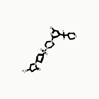 NC1CC(=O)N(c2ccc(S(=O)(=O)N3CCN(c4cc(C(F)(F)C5CCOCC5)cc(Cl)n4)CC3)cc2)C1